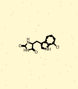 O=C1NC(=O)C(Cc2c[nH]c3c(Cl)cccc23)N1